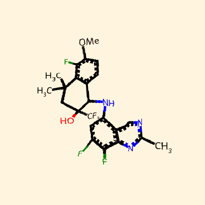 COc1ccc2c(c1F)C(C)(C)CC(O)(C(F)(F)F)C2Nc1cc(F)c(F)c2nc(C)ncc12